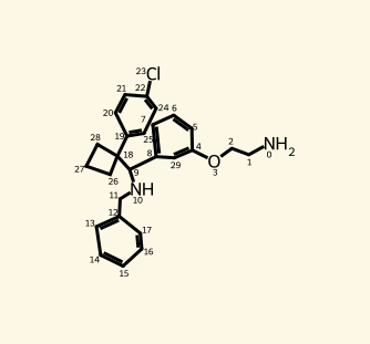 NCCOc1cccc(C(NCc2ccccc2)C2(c3ccc(Cl)cc3)CCC2)c1